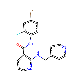 O=C(Nc1ccc(Br)cc1F)c1cccnc1NCc1ccncc1